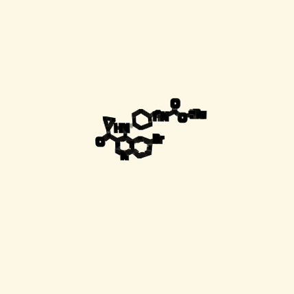 CC(C)(C)OC(=O)NC[C@H]1CC[C@H](Nc2c(C(=O)C3CC3)cnc3ccc(Br)cc23)CC1